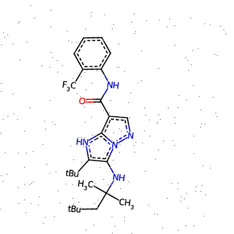 CC(C)(C)CC(C)(C)Nc1c(C(C)(C)C)[nH]c2c(C(=O)Nc3ccccc3C(F)(F)F)cnn12